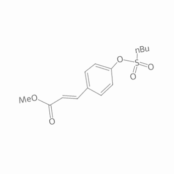 CCCCS(=O)(=O)Oc1ccc(C=CC(=O)OC)cc1